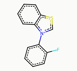 Fc1ccccc1-[n+]1csc2ccccc21